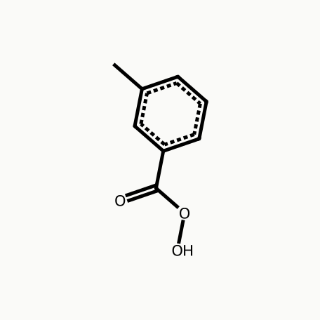 Cc1cccc(C(=O)OO)c1